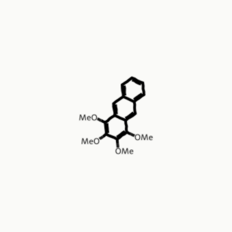 COc1c(OC)c(OC)c2cc3ccccc3cc2c1OC